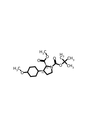 COC(=O)[C@@H]1[C@H](C2CCC(OC)CC2)CCN1C(=O)OC(C)(C)C